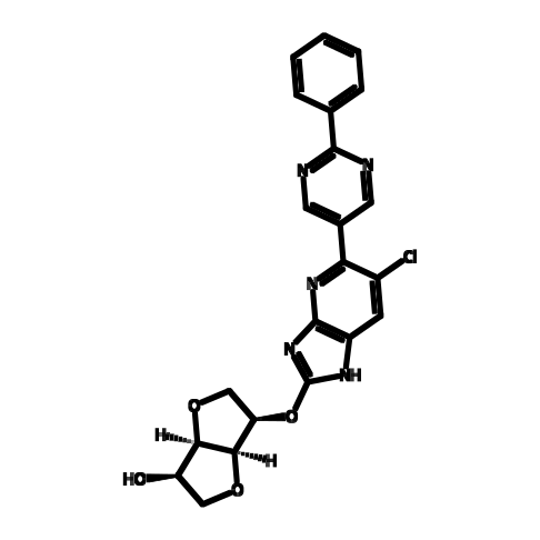 O[C@@H]1CO[C@H]2[C@@H]1OC[C@H]2Oc1nc2nc(-c3cnc(-c4ccccc4)nc3)c(Cl)cc2[nH]1